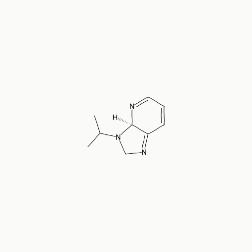 CC(C)N1CN=C2C=CC=N[C@@H]21